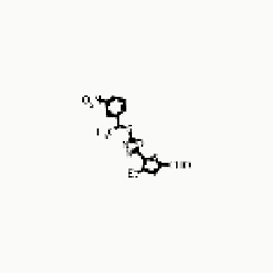 CCc1cc(C=O)sc1-c1nnc(SC(C)c2cccc([N+](=O)[O-])c2)o1